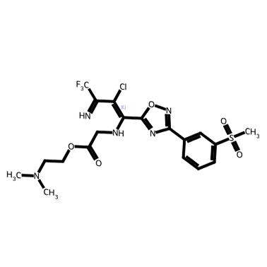 CN(C)CCOC(=O)CN/C(=C(/Cl)C(=N)C(F)(F)F)c1nc(-c2cccc(S(C)(=O)=O)c2)no1